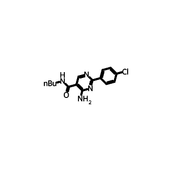 CCCCNC(=O)c1cnc(-c2ccc(Cl)cc2)nc1N